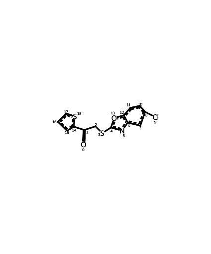 O=C(CSc1nc2cc(Cl)ccc2o1)c1cccs1